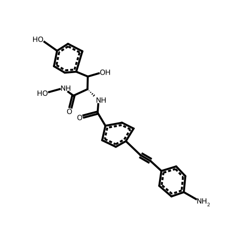 Nc1ccc(C#Cc2ccc(C(=O)N[C@H](C(=O)NO)C(O)c3ccc(O)cc3)cc2)cc1